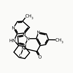 Cc1ccc(NC2CC3CCC2N(C(=O)c2cc(C)cnc2-n2nccn2)C3)nc1